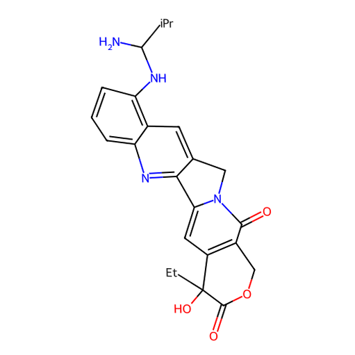 CCC1(O)C(=O)OCc2c1cc1n(c2=O)Cc2cc3c(NC(N)C(C)C)cccc3nc2-1